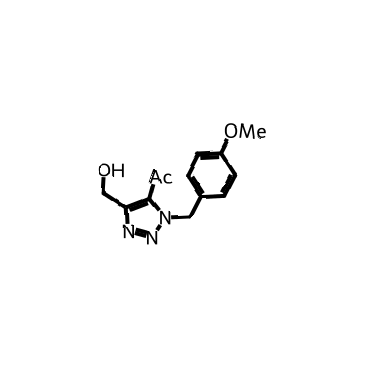 COc1ccc(Cn2nnc(CO)c2C(C)=O)cc1